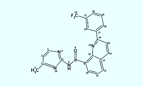 Cc1ccnc(NC(=O)c2cccc3ccc(-c4cccc(C(F)(F)F)c4)nc23)n1